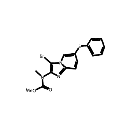 COC(=O)N(C)c1nc2ccc(Sc3ccccc3)cn2c1Br